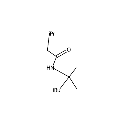 CCC(C)C(C)(C)NC(=O)CC(C)C